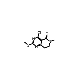 CSc1nc(Cl)c2c(n1)CCN(C)C2=O